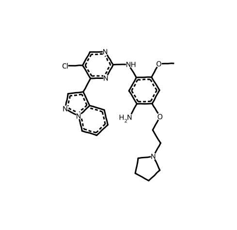 COc1cc(OCCN2CCCC2)c(N)cc1Nc1ncc(Cl)c(-c2cnn3ccccc23)n1